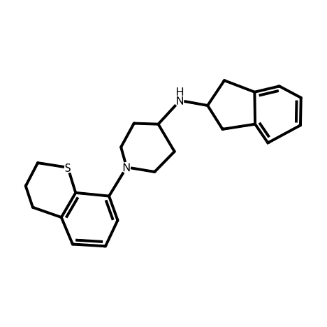 c1ccc2c(c1)CC(NC1CCN(c3cccc4c3SCCC4)CC1)C2